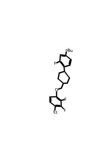 CCCCc1ccc(C2CCC(COc3ccc(CC)c(F)c3F)CC2)c(F)c1